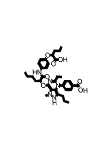 CCCCC(OC1=C2C(=C(CCC)NN2C)N(c2ccc(C(=O)O)cc2)C(CC)=N1)C(=O)Nc1ccc(OC(CCC)C(=O)O)cc1